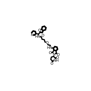 O=C1CCC(N2C(=O)c3cccc(NCCOCCCC(=O)NC(c4cccnc4)c4cc5ccccc5o4)c3C2=O)C(=O)N1